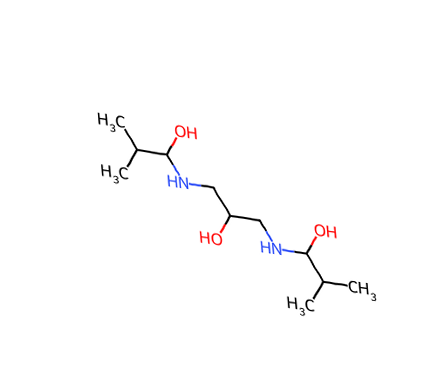 CC(C)C(O)NCC(O)CNC(O)C(C)C